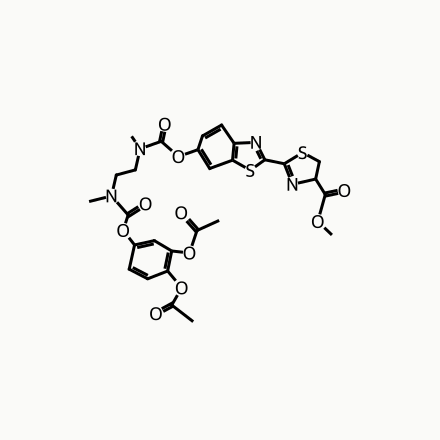 COC(=O)C1CSC(c2nc3ccc(OC(=O)N(C)CCN(C)C(=O)Oc4ccc(OC(C)=O)c(OC(C)=O)c4)cc3s2)=N1